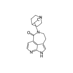 O=C1c2ccnc3[nH]cc(c23)CCN1C1CN2CCC1CC2